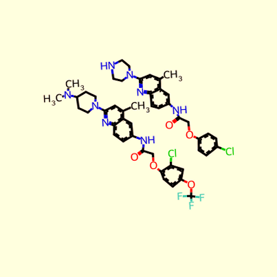 Cc1cc(N2CCC(N(C)C)CC2)nc2ccc(NC(=O)COc3ccc(OC(F)(F)F)cc3Cl)cc12.Cc1cc(N2CCNCC2)nc2ccc(NC(=O)COc3ccc(Cl)cc3)cc12